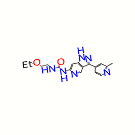 CCOCCNC(=O)Nc1cc2[nH]nc(-c3ccnc(C)c3)c2cn1